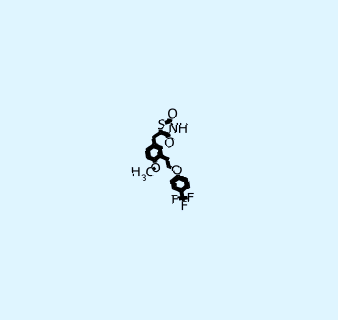 COc1ccc(CC2SC(=O)NC2=O)cc1CCOc1ccc(C(F)(F)F)cc1